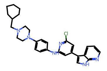 Clc1cc(-c2c[nH]c3ncccc23)cc(Nc2ccc(N3CCN(CC4CCCCC4)CC3)cc2)n1